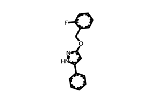 Fc1ccccc1COc1cc(-c2ccccc2)[nH]n1